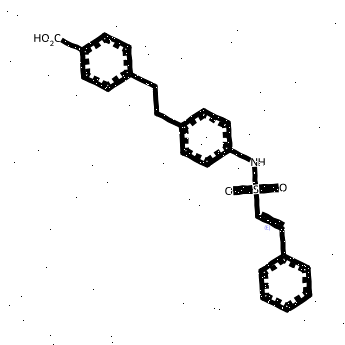 O=C(O)c1ccc(CCc2ccc(NS(=O)(=O)/C=C/c3ccccc3)cc2)cc1